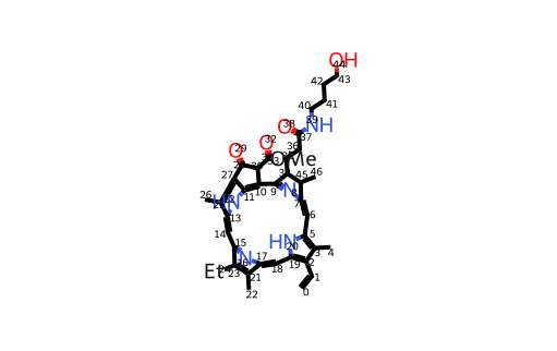 C=Cc1c(C)c2cc3nc(c4c5[nH]c(cc6nc(cc1[nH]2)C(C)=C6CC)c(C)c5C(=O)C4C(=O)OC)C(CCC(=O)NCCCCO)C3C